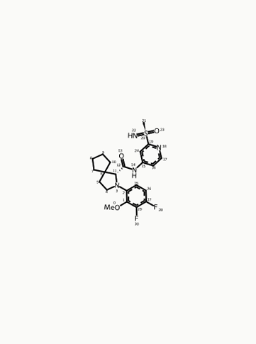 COc1c(N2CCC3(CCCC3)[C@@H]2C(=O)Nc2ccnc([S@](C)(=N)=O)c2)ccc(F)c1F